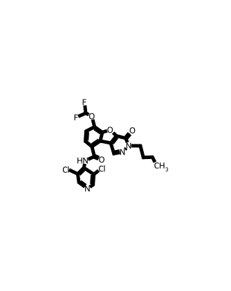 CCCCn1ncc2c(oc3c(OC(F)F)ccc(C(=O)Nc4c(Cl)cncc4Cl)c32)c1=O